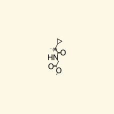 COC(=O)CNC(=O)[C@H](C)C1CC1